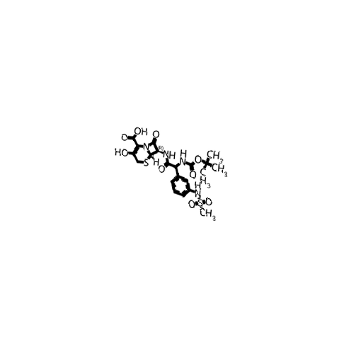 CC(C)(C)OC(=O)NC(C(=O)N[C@@H]1C(=O)N2C(C(=O)O)=C(O)CS[C@@H]12)c1cccc(NS(C)(=O)=O)c1